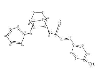 Cc1ccc(/C=C/C(=O)NC2C3CCN(CC3)C2Cc2cccnc2)cc1